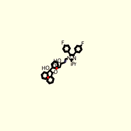 CC(C)c1nc(-c2ccc(F)cc2)c(-c2ccc(F)cc2)n1/C=C/[C@@H](O)CC(=O)O[C@@H](c1ccccc1)C(O)(c1ccccc1)c1ccccc1